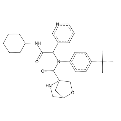 CC(C)(C)c1ccc(N(C(=O)C23COC(CN2)C3)C(C(=O)NC2CCCCC2)c2cccnc2)cc1